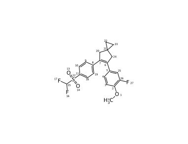 COc1ccc(C2=C(c3ccc(S(=O)(=O)C(F)F)cc3)CC3(CC3)C2)cc1F